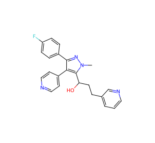 Cn1nc(-c2ccc(F)cc2)c(-c2ccncc2)c1C(O)CCc1cccnc1